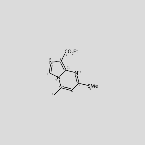 CCOC(=O)c1ncn2c(C)cc(SC)nc12